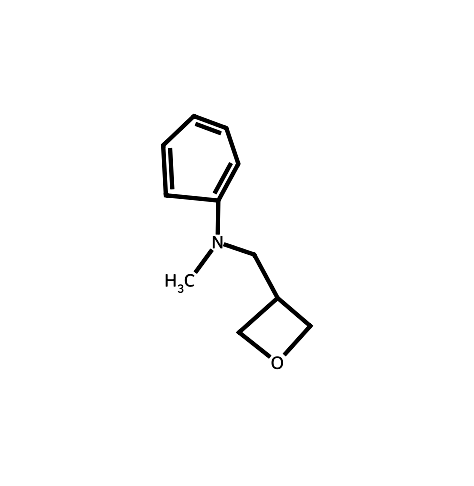 CN(CC1COC1)c1ccccc1